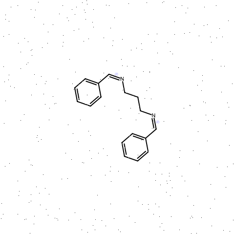 C(=N/CCC/N=C\c1ccccc1)/c1ccccc1